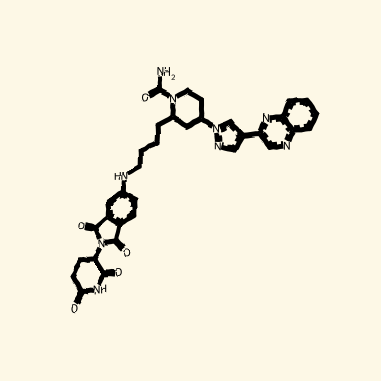 NC(=O)N1CCC(n2cc(-c3cnc4ccccc4n3)cn2)CC1CCCCNc1ccc2c(c1)C(=O)N(C1CCC(=O)NC1=O)C2=O